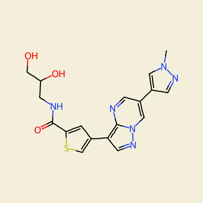 Cn1cc(-c2cnc3c(-c4csc(C(=O)NCC(O)CO)c4)cnn3c2)cn1